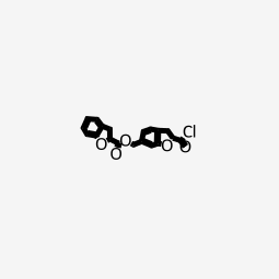 O=C(Cl)C1Cc2ccc(COC(=O)C3Cc4ccccc4O3)cc2O1